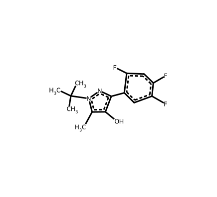 Cc1c(O)c(-c2cc(F)c(F)cc2F)nn1C(C)(C)C